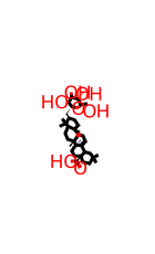 CC1(C)CC[C@]2(C(=O)O)CC[C@]3(C)C(=CCC4[C@@]5(C)CC[C@H](C[C@H]6OC(CO)[C@@H](O)C(O)C6O)C(C)(C)C5CC[C@]43C)C2C1